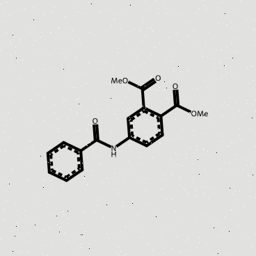 COC(=O)c1ccc(NC(=O)c2ccccc2)cc1C(=O)OC